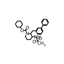 CS(=O)(=O)NC1CCCN(C(=O)OC2CCCCC2)C1Cc1cccc(-c2ccccc2)c1